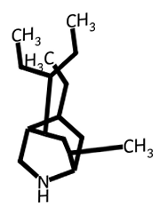 CCC1CC2NCC1C(C(CC)CC)CC2C